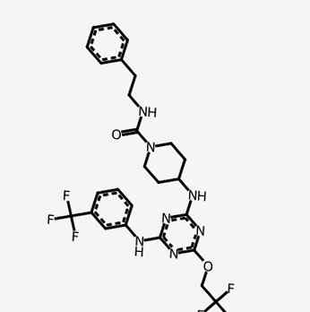 O=C(NCCc1ccccc1)N1CCC(Nc2nc(Nc3cccc(C(F)(F)F)c3)nc(OCC(F)(F)F)n2)CC1